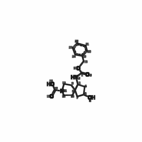 O=C(NC1CC(O)CC12CCN(C(=O)O)CC2)OCc1ccccc1